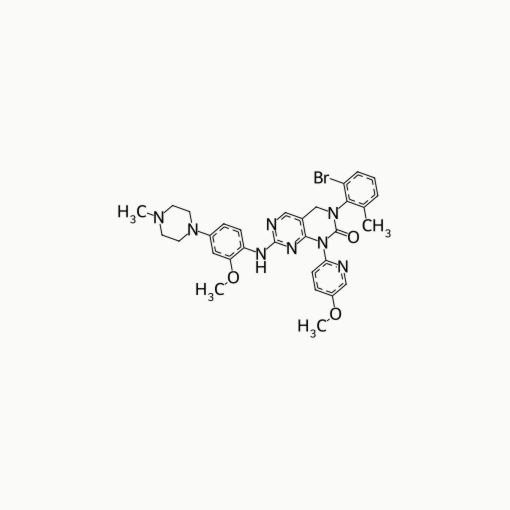 COc1ccc(N2C(=O)N(c3c(C)cccc3Br)Cc3cnc(Nc4ccc(N5CCN(C)CC5)cc4OC)nc32)nc1